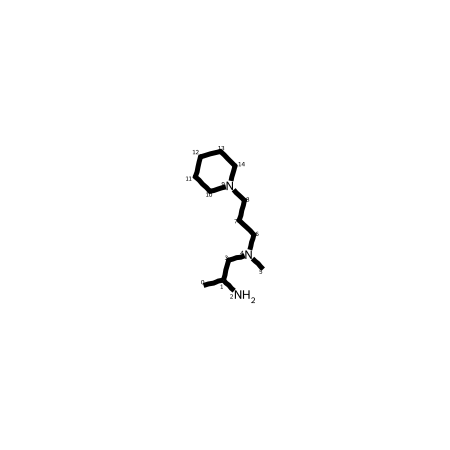 CC(N)CN(C)CCCN1CCCCC1